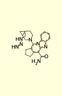 N=NNCC12CCN(c3c4c(c(C(N)=O)c5nc6ccccc6n35)CCC4)CC1C2